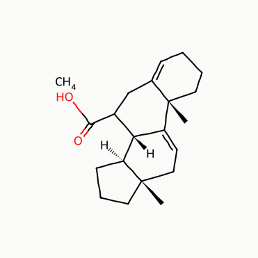 C.C[C@]12CCCC=C1CC(C(=O)O)[C@@H]1C2=CC[C@]2(C)CCC[C@@H]12